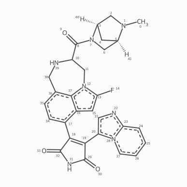 CN1C[C@H]2C[C@@H]1CN2C(=O)C1Cn2c(F)cc3c(C4=C(c5cnc6ccccn56)C(=O)NC4=O)ccc(c32)CN1